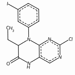 CCC1C(=O)Nc2cnc(Cl)nc2N1c1cccc(I)c1